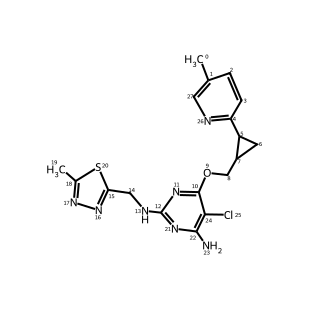 Cc1ccc(C2CC2COc2nc(NCc3nnc(C)s3)nc(N)c2Cl)nc1